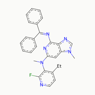 CCc1ccnc(F)c1N(C)c1cc2c(ncn2C)c(N=C(c2ccccc2)c2ccccc2)n1